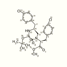 COC(=O)[C@H](Cc1ccc(Cl)cc1)N(C)C[C@H](Cc1ccc(Cl)cc1)NC(=O)OC(C)(C)C